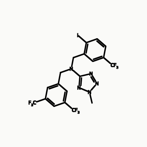 Cn1nnc(N(Cc2cc(C(F)(F)F)cc(C(F)(F)F)c2)Cc2cc(C(F)(F)F)ccc2I)n1